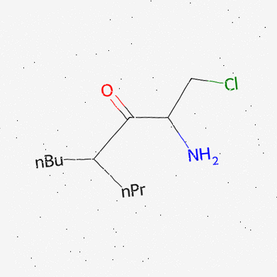 CCCCC(CCC)C(=O)C(N)CCl